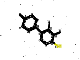 Cc1ccc(-c2ccc(S)c(C)c2C)cc1